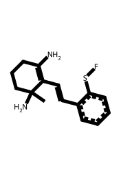 CC1(N)CCCC(N)=C1/C=C/c1ccccc1SF